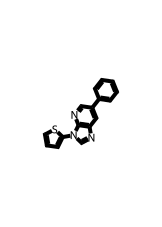 c1ccc(-c2cnc3c(c2)ncn3-c2cccs2)cc1